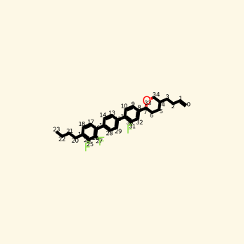 C=CCCC1CCC(c2ccc(-c3ccc(-c4ccc(CCCC)c(F)c4F)cc3)c(F)c2)OC1